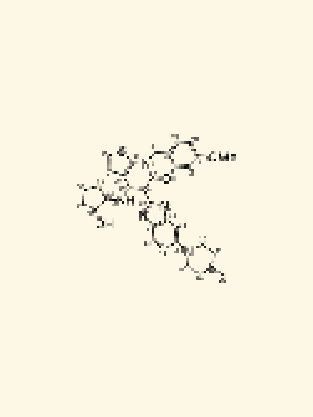 COc1ccc(Cn2c(=O)c(C3=Nc4ccc(N5CCN(C)CC5)cc4[N]3)c(N[C@@H]3CCC[C@H]3O)c3ccsc32)cc1